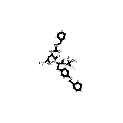 CC(C)CC(NC(=O)NCc1ccccc1)C(=O)NC(Cc1ccc(OCc2ccccc2)cc1)C(=O)OC(C)(C)C